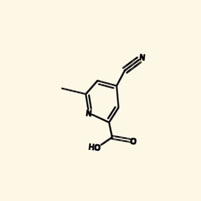 Cc1cc(C#N)cc(C(=O)O)n1